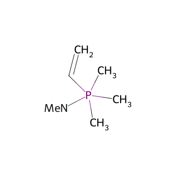 C=CP(C)(C)(C)NC